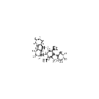 CCc1c(Cn2c3ccccc3c3ccccc32)c(CC)c2c(c1CC)Cc1ccccc1-2